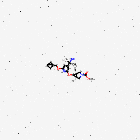 CC(C)(C)OC(=O)N1C[C@@H]2C(Oc3cc(C(C)(C)N)cc(OCC45CC(C4)C5)n3)[C@@H]2C1